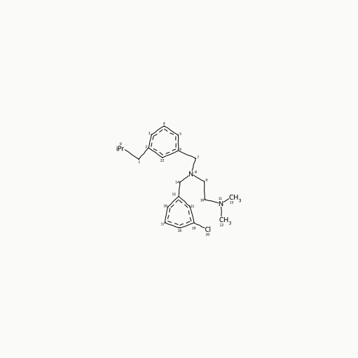 CC(C)Cc1cccc(CN(CCN(C)C)Cc2cccc(Cl)c2)c1